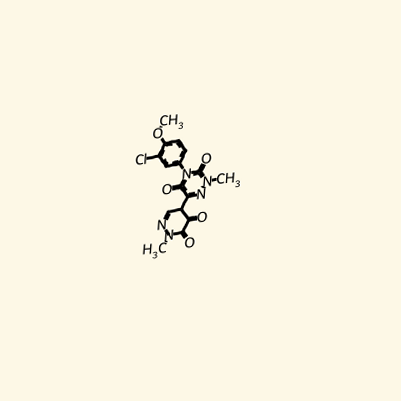 COc1ccc(-n2c(=O)c(C3C=NN(C)C(=O)C3=O)nn(C)c2=O)cc1Cl